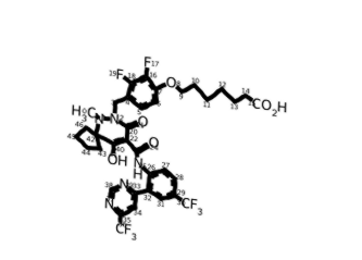 CN1N(Cc2ccc(OCCCCCCC(=O)O)c(F)c2F)C(=O)C(C(=O)Nc2ccc(C(F)(F)F)cc2-c2cc(C(F)(F)F)ncn2)=C(O)C12CCCC2